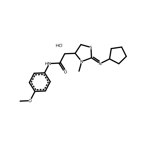 COc1ccc(NC(=O)CC2CS/C(=N\C3CCCC3)N2C)cc1.Cl